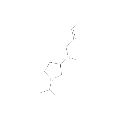 C/C=C/CN(C)C1CCN(C(C)C)C1